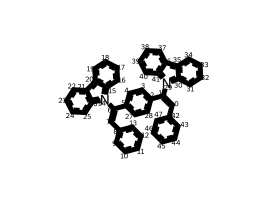 C(=C(c1ccc(C(=Cc2ccccc2)n2c3ccccc3c3ccccc32)cc1)n1c2ccccc2c2ccccc21)c1ccccc1